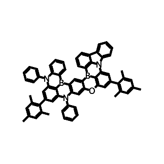 Cc1cc(C)c(-c2cc3c4c(c2)N(c2ccccc2)c2cc5c(cc2B4c2ccccc2N3c2ccccc2)B2c3c(cc(-c4c(C)cc(C)cc4C)cc3-n3c4ccccc4c4cccc2c43)O5)c(C)c1